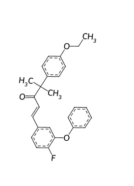 CCOc1ccc(C(C)(C)C(=O)C=Cc2ccc(F)c(Oc3ccccc3)c2)cc1